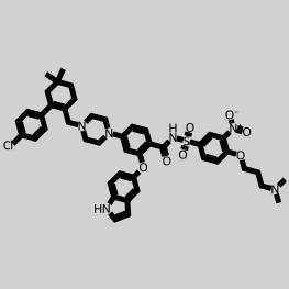 CN(C)CCCOc1ccc(S(=O)(=O)NC(=O)c2ccc(N3CCN(CC4=C(c5ccc(Cl)cc5)CC(C)(C)CC4)CC3)cc2Oc2ccc3[nH]ccc3c2)cc1[N+](=O)[O-]